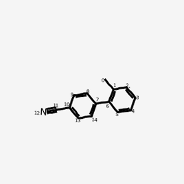 Cc1[c]cccc1-c1ccc(C#N)cc1